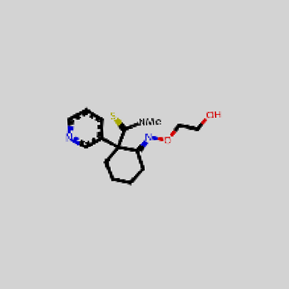 CNC(=S)C1(c2cccnc2)CCCCC1=NOCCO